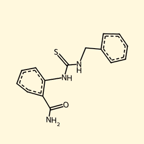 NC(=O)c1ccccc1NC(=S)NCc1ccccc1